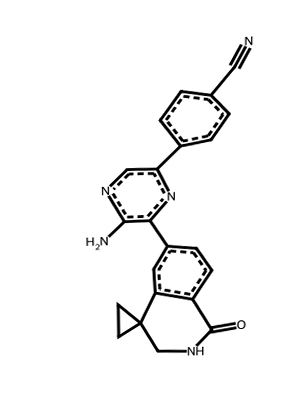 N#Cc1ccc(-c2cnc(N)c(-c3ccc4c(c3)C3(CC3)CNC4=O)n2)cc1